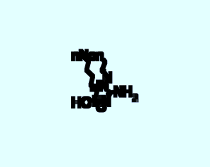 CCCCCCC(=O)O.CCCCCCCCCCC=NNC(=N)N